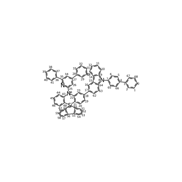 c1ccc(-c2ccc(-n3c4ccccc4c4cc(-c5ccc6c(c5)N(c5cc(-c7ccccc7)cc(-c7ccccc7)n5)c5ccccc5[Si]65c6ccccc6-c6ccccc65)ccc43)cc2)cc1